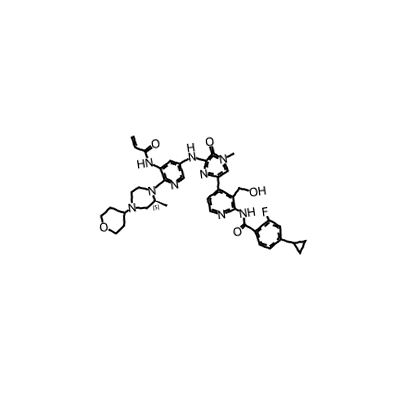 C=CC(=O)Nc1cc(Nc2nc(-c3ccnc(NC(=O)c4ccc(C5CC5)cc4F)c3CO)cn(C)c2=O)cnc1N1CCN(C2CCOCC2)C[C@@H]1C